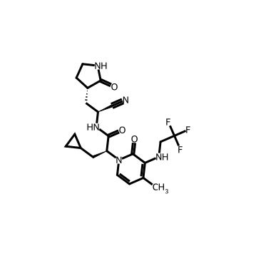 Cc1ccn([C@@H](CC2CC2)C(=O)N[C@H](C#N)C[C@@H]2CCNC2=O)c(=O)c1NCC(F)(F)F